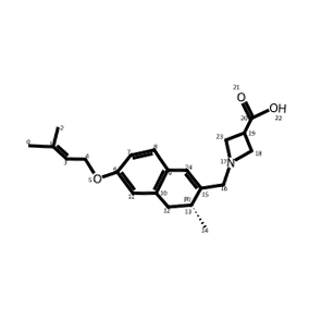 CC(C)=CCOc1ccc2c(c1)C[C@@H](C)C(CN1CC(C(=O)O)C1)=C2